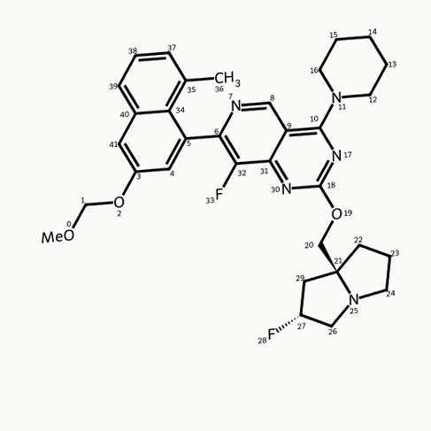 COCOc1cc(-c2ncc3c(N4CCCCC4)nc(OC[C@@]45CCCN4C[C@H](F)C5)nc3c2F)c2c(C)cccc2c1